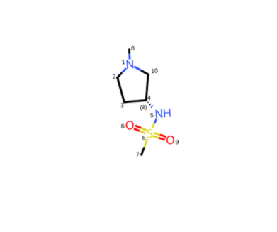 CN1CC[C@@H](NS(C)(=O)=O)C1